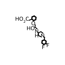 O=C(O)Cc1ccccc1OC[C@@H](O)CNC1CCN(Cc2ccc(F)c(F)c2)CC1